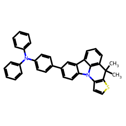 CC1(C)c2sccc2-n2c3ccc(-c4ccc(N(c5ccccc5)c5ccccc5)cc4)cc3c3cccc1c32